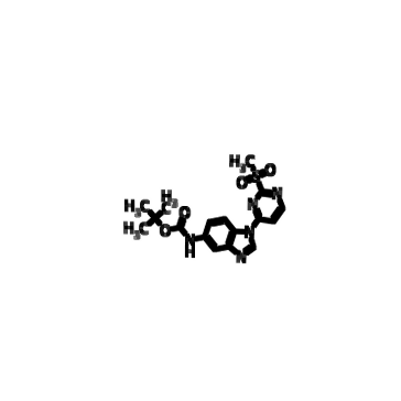 CC(C)(C)OC(=O)Nc1ccc2c(c1)ncn2-c1ccnc(S(C)(=O)=O)n1